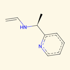 C=CN[C@@H](C)c1ccccn1